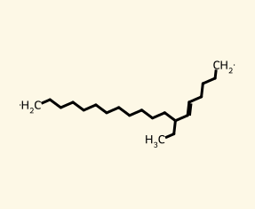 [CH2]CCCC=CC(CC)CCCCCCCCCCC[CH2]